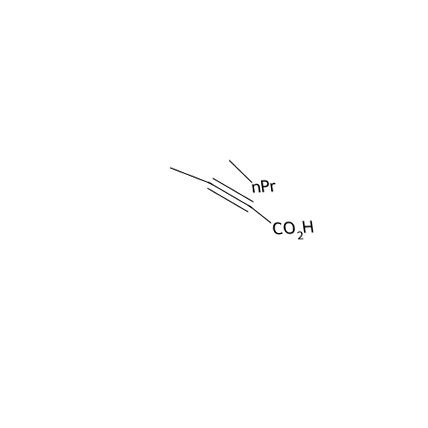 CC#CC(=O)O.CCCC